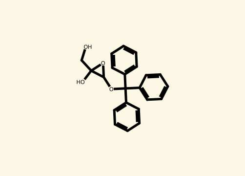 OCC1(O)OC1OC(c1ccccc1)(c1ccccc1)c1ccccc1